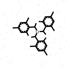 Cc1cc(C)c([CH](C)[Cr]([CH](C)c2c(C)cc(C)cc2C)[CH](C)c2c(C)cc(C)cc2C)c(C)c1